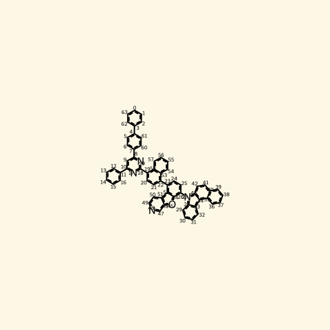 c1ccc(-c2ccc(-c3cc(-c4ccccc4)nc(-c4ccc(-c5ccc(-n6c7ccccc7c7c8ccccc8ccc76)c6oc7cnccc7c56)c5ccccc45)n3)cc2)cc1